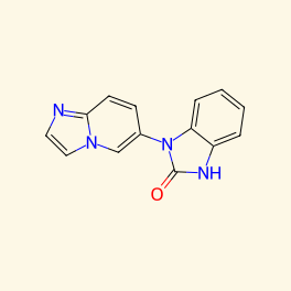 O=c1[nH]c2ccccc2n1-c1ccc2nccn2c1